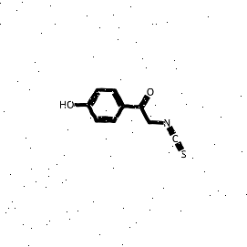 O=C(CN=C=S)c1ccc(O)cc1